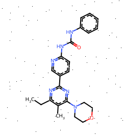 CCc1nc(-c2ccc(NC(=O)Nc3ccccc3)nc2)nc(N2CCOCC2)c1C